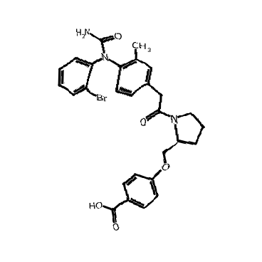 Cc1cc(CC(=O)N2CCC[C@H]2COc2ccc(C(=O)O)cc2)ccc1N(C(N)=O)c1ccccc1Br